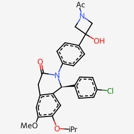 COc1cc2c(cc1OC(C)C)[C@H](c1ccc(Cl)cc1)N(c1ccc(C3(O)CN(C(C)=O)C3)cc1)C(=O)C2